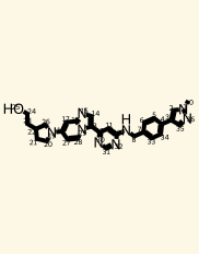 Cn1cc(-c2ccc(CNc3cc(-c4cnc5cc(N6CCC(CCO)C6)ccn45)ncn3)cc2)cn1